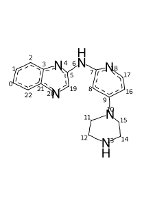 c1ccc2nc(Nc3cc(N4CCNCC4)ccn3)cnc2c1